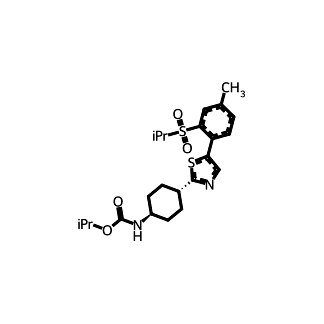 Cc1ccc(-c2cnc([C@H]3CC[C@H](NC(=O)OC(C)C)CC3)s2)c(S(=O)(=O)C(C)C)c1